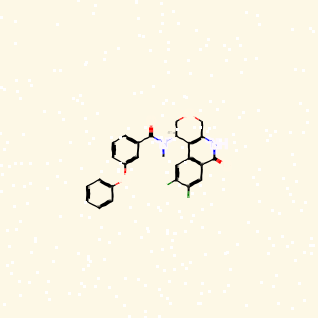 CN(C(=O)c1cccc(Oc2ccccc2)c1)[C@H]1COCc2[nH]c(=O)c3cc(F)c(F)cc3c21